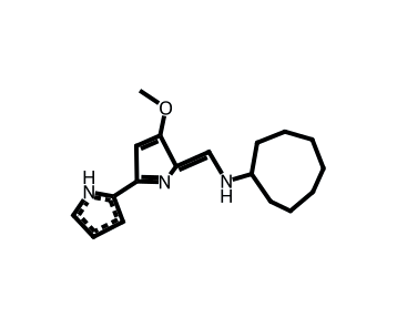 COC1=CC(c2ccc[nH]2)=N/C1=C\NC1CCCCCCC1